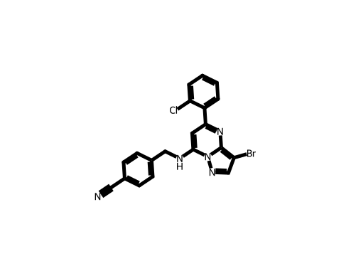 N#Cc1ccc(CNc2cc(-c3ccccc3Cl)nc3c(Br)cnn23)cc1